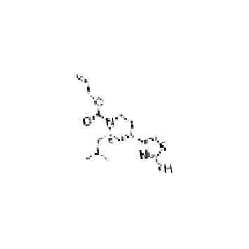 C=CCOC(=O)N1CCC(c2csc(S)n2)=C[C@@H]1CC(C)C